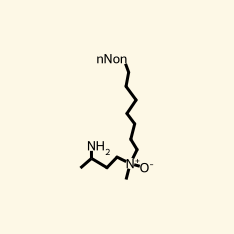 CCCCCCCCCCCCCCCC[N+](C)([O-])CCC(C)N